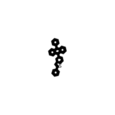 C1=C(c2ccccc2)SC2=CC=C(c3c4ccccc4c(-c4ccccc4)c4ccccc34)CC12